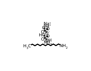 CCCCCCCCCCCCN.N.O=S(=O)(O)O.O=S(=O)([O-])[O-].[Na+].[Na+]